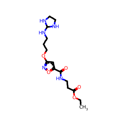 CCOC(=O)CCNC(=O)c1cc(OCCCNC2NCCN2)no1